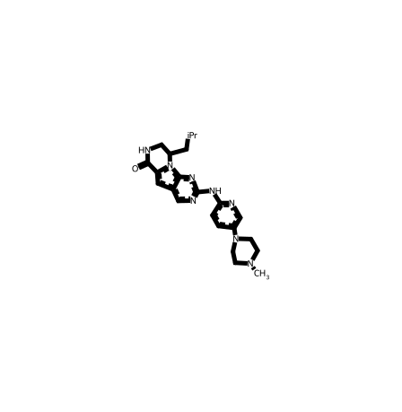 CC(C)CC1CNC(=O)c2cc3cnc(Nc4ccc(N5CCN(C)CC5)cn4)nc3n21